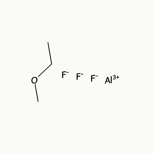 CCOC.[Al+3].[F-].[F-].[F-]